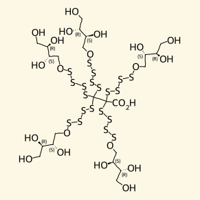 O=C(O)C(SSSSOC[C@H](O)[C@H](O)CO)(SSSSOC[C@H](O)[C@H](O)CO)C(SSSSOC[C@H](O)[C@H](O)CO)(SSSSOC[C@H](O)[C@H](O)CO)SSSSOC[C@H](O)[C@H](O)CO